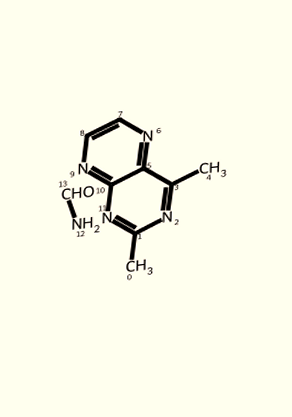 Cc1nc(C)c2nccnc2n1.NC=O